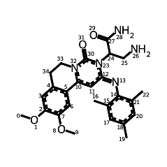 COc1cc2c(cc1OC)-c1cc(=Nc3c(C)cc(C)cc3C)n(C(CN)C(N)=O)c(=O)n1CC2